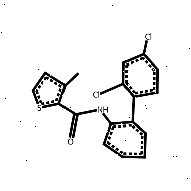 Cc1ccsc1C(=O)Nc1ccccc1-c1ccc(Cl)cc1Cl